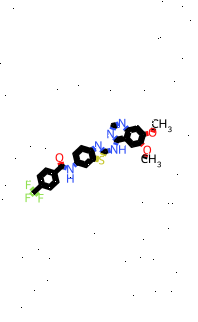 COc1cc2ncnc(Nc3nc4ccc(NC(=O)c5ccc(C(F)(F)F)cc5)cc4s3)c2cc1OC